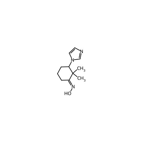 CC1(C)/C(=N/O)CCCC1n1ccnc1